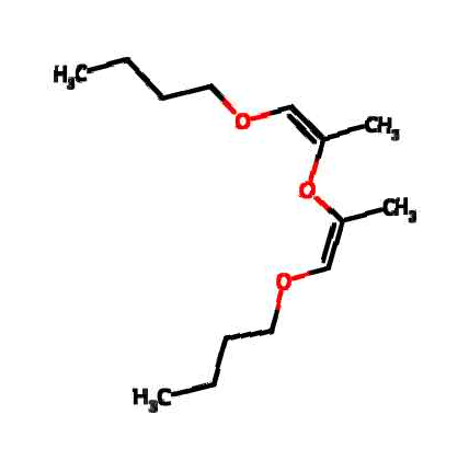 CCCCO/C=C(/C)O/C(C)=C\OCCCC